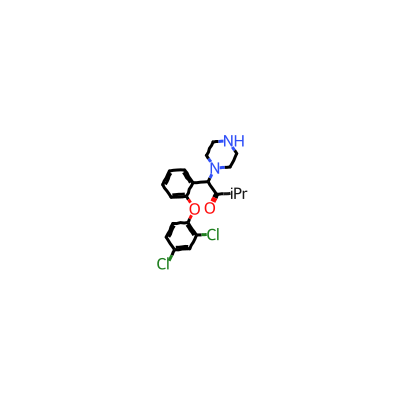 CC(C)C(=O)C(c1ccccc1Oc1ccc(Cl)cc1Cl)N1CCNCC1